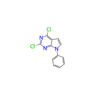 Clc1nc(Cl)c2ccn(-c3ccccc3)c2n1